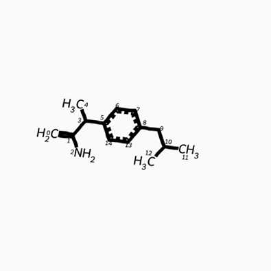 C=C(N)C(C)c1ccc(CC(C)C)cc1